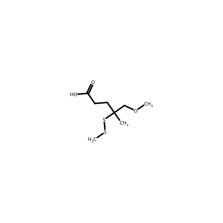 COCC(C)(CCC(=O)O)SSC